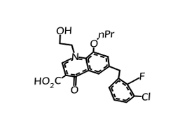 CCCOc1cc(Cc2cccc(Cl)c2F)cc2c(=O)c(C(=O)O)cn(CCO)c12